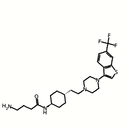 NCCCC(=O)N[C@H]1CC[C@H](CCN2CCN(c3csc4cc(C(F)(F)F)ccc34)CC2)CC1